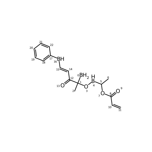 BC(C)(OBC(C)OC(=O)C=C)C(=O)/C=C/Bc1ccccc1